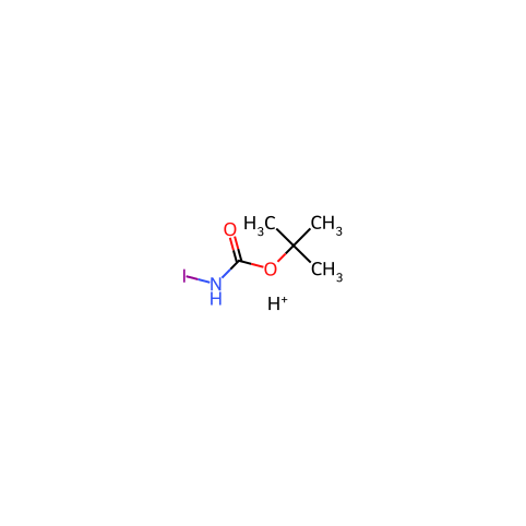 CC(C)(C)OC(=O)NI.[H+]